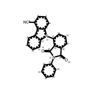 N#Cc1cccc2c1c1ccccc1n2-c1cccc2c1C(=O)N(c1ccccc1)C2=O